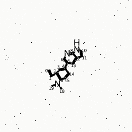 C=Cc1cc(-c2cnc3[nH]ccc3c2)ccc1N(C)C